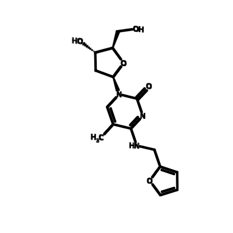 Cc1cn([C@H]2C[C@H](O)[C@@H](CO)O2)c(=O)nc1NCc1ccco1